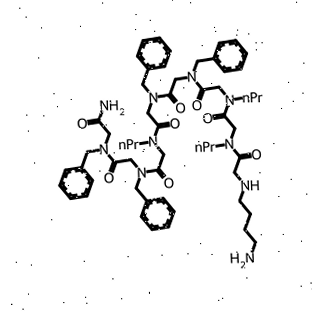 CCCN(CC(=O)N(CCC)CC(=O)N(CC(=O)N(CC(=O)N(CCC)CC(=O)N(CC(=O)N(CC(N)=O)Cc1ccccc1)Cc1ccccc1)Cc1ccccc1)Cc1ccccc1)C(=O)CNCCCCN